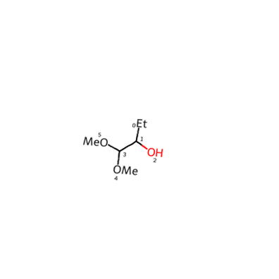 CCC(O)C(OC)OC